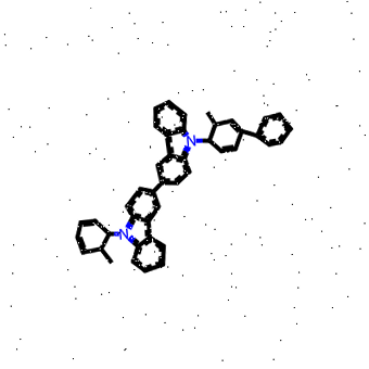 CC1C=CC=CC1n1c2ccccc2c2cc(-c3ccc4c(c3)c3ccccc3n4C3C=CC(c4ccccc4)=CC3C)ccc21